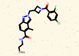 COCCNC(=O)c1ccc2nn(CC3CN(C(=O)c4ccc(Cl)cc4F)C3)cc2c1C